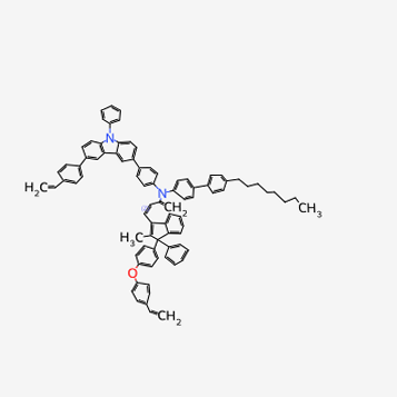 C=Cc1ccc(Oc2ccc(C3(c4ccccc4)C(C)=C(/C=C\C(=C)N(c4ccc(-c5ccc(CCCCCCCC)cc5)cc4)c4ccc(-c5ccc6c(c5)c5cc(-c7ccc(C=C)cc7)ccc5n6-c5ccccc5)cc4)c4ccccc43)cc2)cc1